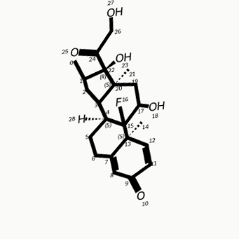 CC1CC2[C@@H]3CCC4=CC(=O)C=C[C@]4(C)C3(F)C(O)C[C@]2(C)[C@@]1(O)C(=O)CO